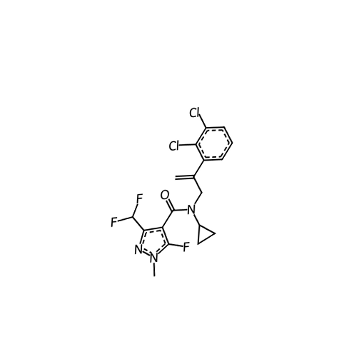 C=C(CN(C(=O)c1c(C(F)F)nn(C)c1F)C1CC1)c1cccc(Cl)c1Cl